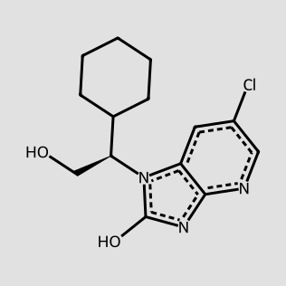 OC[C@@H](C1CCCCC1)n1c(O)nc2ncc(Cl)cc21